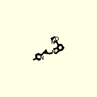 Cc1ccc(C2CC2CN2Cc3cccc(-c4ncco4)c3C2)nc1